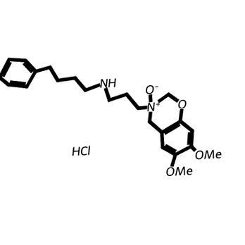 COc1cc2c(cc1OC)OC[N+]([O-])(CCCNCCCCc1ccccc1)C2.Cl